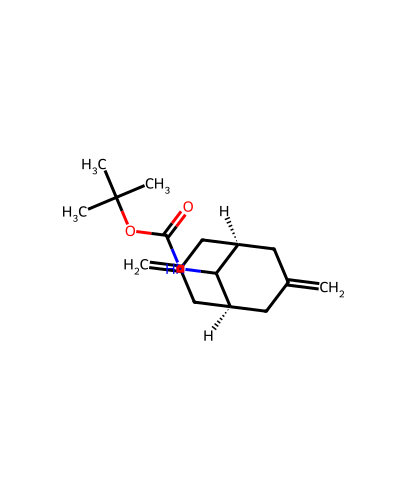 C=C1C[C@H]2CC(=C)C[C@@H](C1)C2NC(=O)OC(C)(C)C